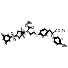 CCOC(=O)[C@H](Cc1ccc(OCCN(C(=O)OC(C)(C)C)[C@H]2[C@@H]3CN(S(=O)(=O)c4cc(F)cc(F)c4)C[C@@H]32)cc1)Oc1ccc(C(C)(C)C)cc1